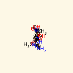 CO/N=C(\C(=O)N[C@@H]1C(=O)N2C(C(=O)O)=C(CSc3nc(C(=O)O)nn3C)CS[C@H]12)c1csc(N)n1